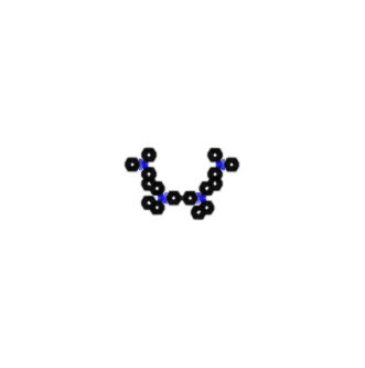 c1ccc(N(c2ccccc2)c2ccc3c(ccc4cc(N(c5ccc(-c6ccc(N(c7ccc8c(ccc9cc(N(c%10ccccc%10)c%10ccccc%10)ccc98)c7)c7cccc8ccccc78)cc6)cc5)c5cccc6ccccc56)ccc43)c2)cc1